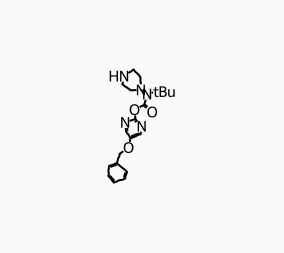 CC(C)(C)N(C(=O)Oc1ncc(OCc2ccccc2)cn1)N1CCNCC1